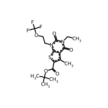 CCn1c(=O)c2c(C)c(C(=O)OC(C)(C)C)sc2n(CCOC(F)(F)F)c1=O